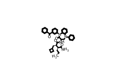 C=CC[C@H](C(N)=O)[C@@H](CC1CCC1)C(=O)NC1CN(c2ccccc2)c2ccccc2N(c2cccc(C(=O)c3ccccc3)c2)C1=O